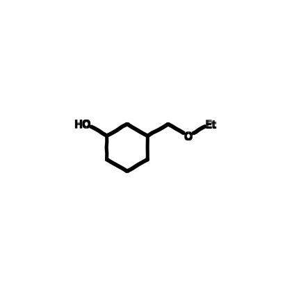 CCOCC1CCCC(O)C1